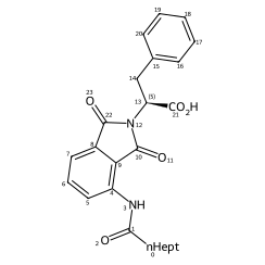 CCCCCCCC(=O)Nc1cccc2c1C(=O)N([C@@H](Cc1ccccc1)C(=O)O)C2=O